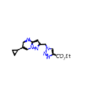 CCOC(=O)c1cn(Cc2cc3ncc(C4CC4)cn3n2)nn1